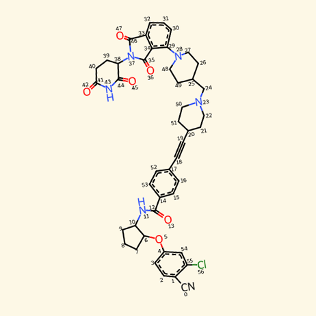 N#Cc1ccc(OC2CCCC2NC(=O)c2ccc(C#CC3CCN(CC4CCN(c5cccc6c5C(=O)N(C5CCC(=O)NC5=O)C6=O)CC4)CC3)cc2)cc1Cl